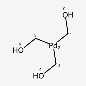 O[CH2][Pd]([CH2]O)[CH2]O